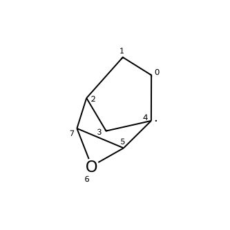 C1CC2C[C]1C1OC21